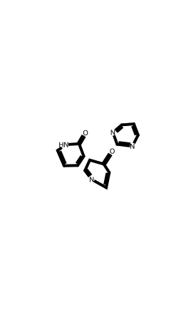 O=C1C=CN=CC1.O=c1cccc[nH]1.c1cncnc1